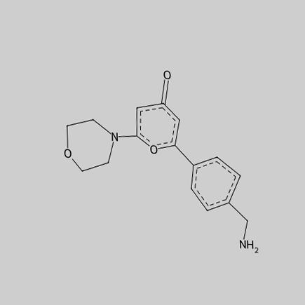 NCc1ccc(-c2cc(=O)cc(N3CCOCC3)o2)cc1